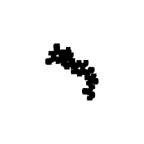 COC(=O)CCS(C)(=O)=NC(=O)c1ccc(C2=NOC(c3cc(Cl)cc(Cl)c3)(C(F)(F)F)C2)cc1C